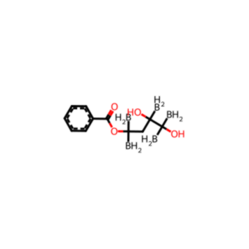 BC(B)(CC(B)(O)C(B)(B)O)OC(=O)c1ccccc1